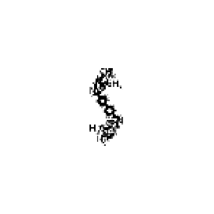 CCCN(Cc1ncc(-c2ccc(-c3ccc(-c4cnc(CN(CCC)C(=O)[C@H](C)NC=O)s4)cc3)cc2)s1)C(=O)[C@H](C)NC=O